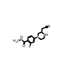 CNC(=O)c1ccc(N2CCNC(CC#N)C2)cc1F